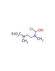 CCOC(=O)N(C)CCN(C)C(O)Cl